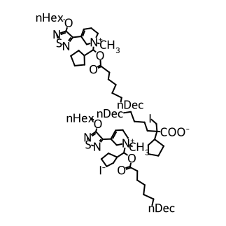 CCCCCCCCCCCCCCC(CI)(C(=O)[O-])C1CCCC1.CCCCCCCCCCCCCCCC(=O)OC(C1CCCC1)[N+]1(C)CCC=C(c2nsnc2OCCCCCC)C1.CCCCCCCCCCCCCCCC(=O)OC(C1CCCC1)[N+]1(C)CCC=C(c2nsnc2OCCCCCC)C1.[I-]